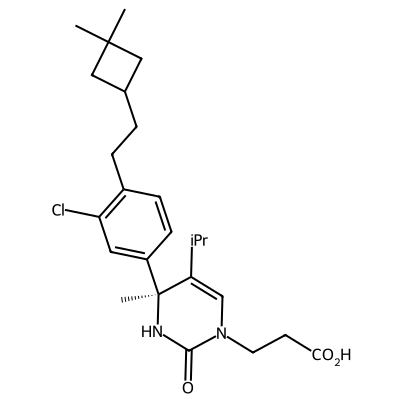 CC(C)C1=CN(CCC(=O)O)C(=O)N[C@@]1(C)c1ccc(CCC2CC(C)(C)C2)c(Cl)c1